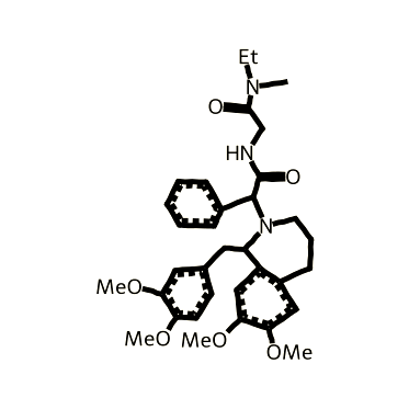 CCN(C)C(=O)CNC(=O)C(c1ccccc1)N1CCCc2cc(OC)c(OC)cc2C1Cc1ccc(OC)c(OC)c1